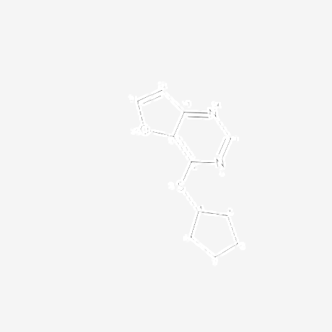 c1nc(SC2CCCC2)c2occc2n1